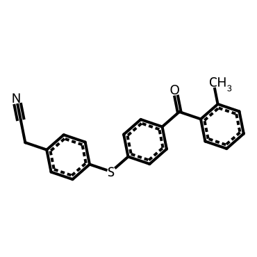 Cc1ccccc1C(=O)c1ccc(Sc2ccc(CC#N)cc2)cc1